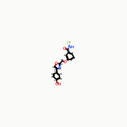 O=C(NF)c1cccc(OCc2nc(-c3ccc(O)cc3)co2)c1